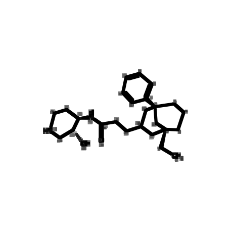 CC[C@@]12CCC[C@@](c3ccccc3)(CC(CCC(=O)N[C@@H]3CCNC[C@H]3O)C1)C2